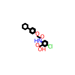 O=C(COc1ccc(C2CCCCC2)cc1)Nc1ccc(Cl)cc1C(=O)O